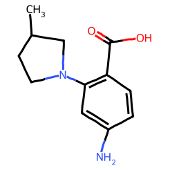 CC1CCN(c2cc(N)ccc2C(=O)O)C1